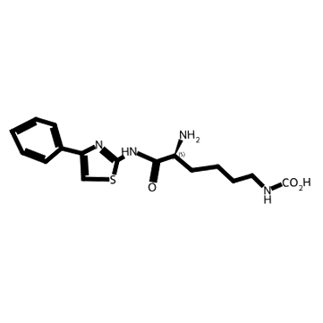 N[C@@H](CCCCNC(=O)O)C(=O)Nc1nc(-c2ccccc2)cs1